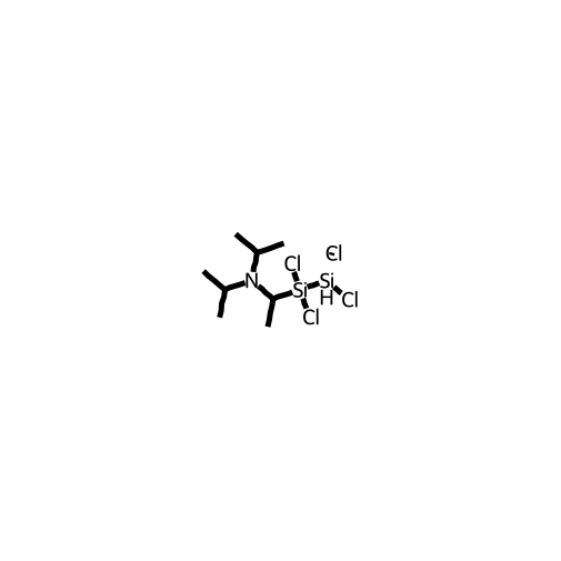 CC(C)N(C(C)C)C(C)[Si](Cl)(Cl)[SiH](Cl)Cl